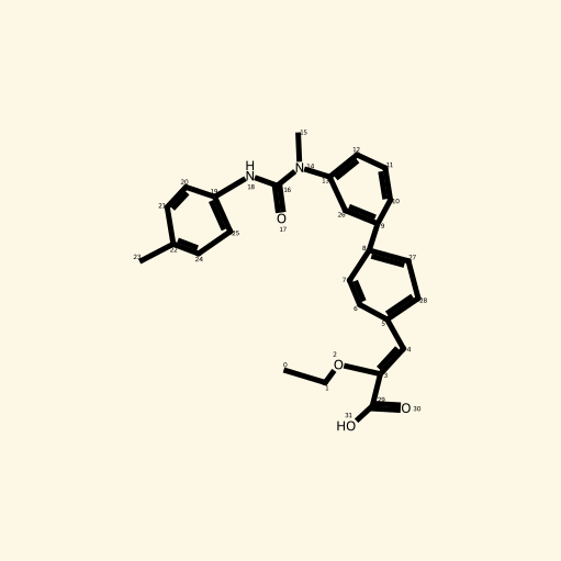 CCOC(=Cc1ccc(-c2cccc(N(C)C(=O)Nc3ccc(C)cc3)c2)cc1)C(=O)O